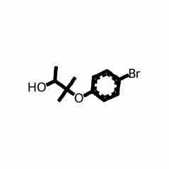 CC(O)C(C)(C)Oc1ccc(Br)cc1